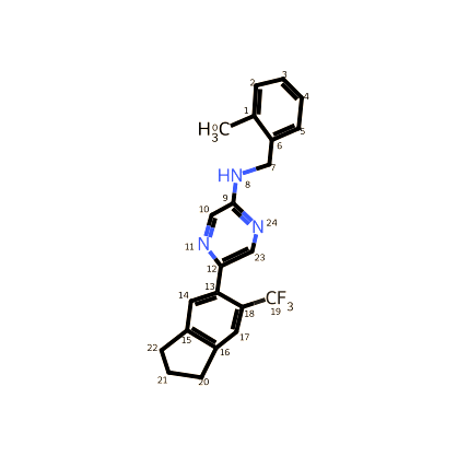 Cc1ccccc1CNc1cnc(-c2cc3c(cc2C(F)(F)F)CCC3)cn1